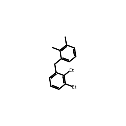 CCc1cccc(Cc2cccc(C)c2C)c1CC